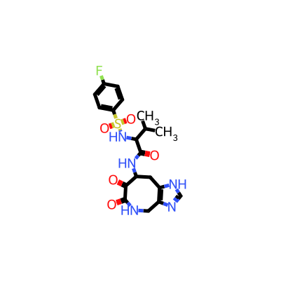 CC(C)C(NS(=O)(=O)c1ccc(F)cc1)C(=O)NC1Cc2[nH]cnc2CNC(=O)C1=O